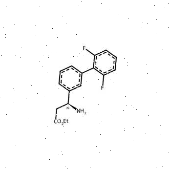 CCOC(=O)C[C@H](N)c1cccc(-c2c(F)cccc2F)c1